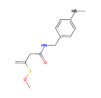 C=C(CC(=O)NCc1ccc(BC)cc1)SOC